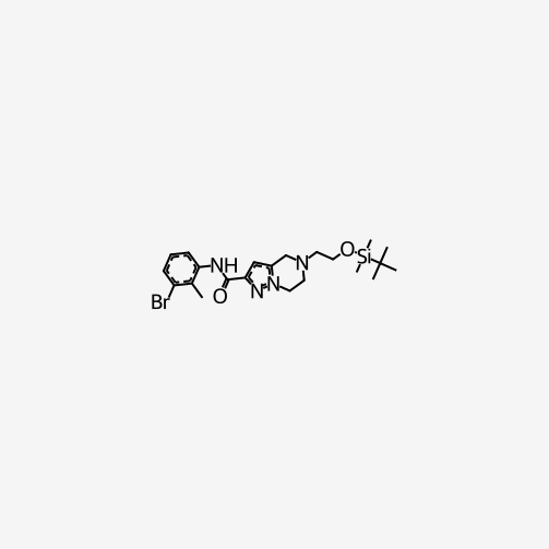 Cc1c(Br)cccc1NC(=O)c1cc2n(n1)CCN(CCO[Si](C)(C)C(C)(C)C)C2